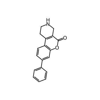 O=c1oc2cc(-c3ccccc3)ccc2c2c1CNCC2